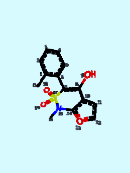 Cc1ccccc1C1=C(O)c2ccoc2N(C)S1(=O)=O